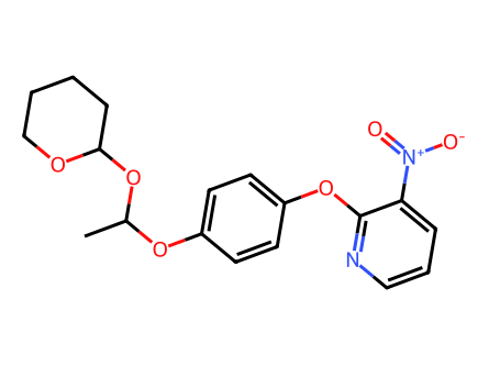 CC(Oc1ccc(Oc2ncccc2[N+](=O)[O-])cc1)OC1CCCCO1